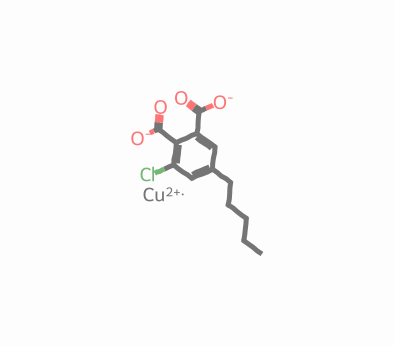 CCCCCc1cc(Cl)c(C(=O)[O-])c(C(=O)[O-])c1.[Cu+2]